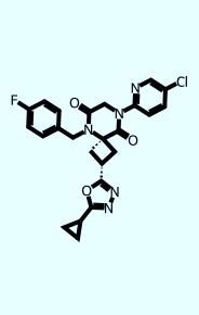 O=C1CN(c2ccc(Cl)cn2)C(=O)[C@]2(C[C@@H](c3nnc(C4CC4)o3)C2)N1Cc1ccc(F)cc1